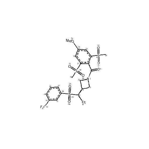 CCC(C1CN(C(=O)c2c(S(C)(=O)=O)cc(OC)cc2S(C)(=O)=O)C1)S(=O)(=O)c1cccc(C(F)(F)F)c1